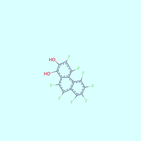 Oc1c(F)c(F)c2c(c1O)c(F)c(F)c1c(F)c(F)c(F)c(F)c12